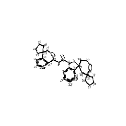 c1ccc([C@]2(CCNCC3OCC4(CCCC4)c4ccsc43)CCOC3(CCCC3)C2)nc1